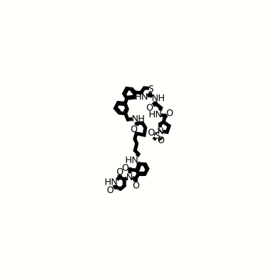 CS(=O)(=O)N1CCC(C(=O)NCC(=O)NC2NC(c3cccc(-c4cccc(CNC(=O)CCCCCCCCNc5cccc6c5C(=O)N(C5CCC(=O)NC5=O)C6=O)c4)c3)CS2)C1